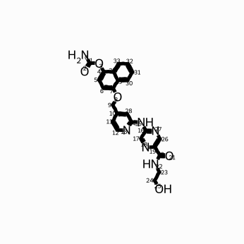 NC(=O)Oc1ccc(OCc2ccnc(Nc3cnc(C(=O)NCCO)cn3)c2)c2ccccc12